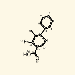 Cc1c(-c2ccccc2)ccc(C(=O)O)c1F